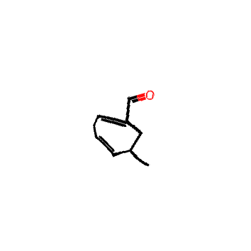 CC1C=CC=C(C=O)C1